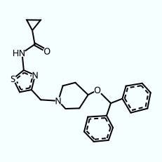 O=C(Nc1nc(CN2CCC(OC(c3ccccc3)c3ccccc3)CC2)cs1)C1CC1